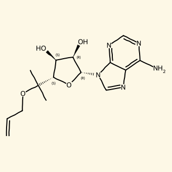 C=CCOC(C)(C)[C@H]1O[C@@H](n2cnc3c(N)ncnc32)[C@H](O)[C@@H]1O